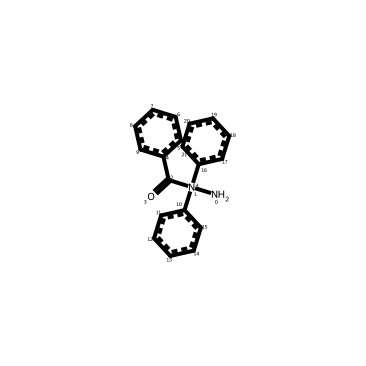 N[N+](C(=O)c1ccccc1)(c1ccccc1)c1ccccc1